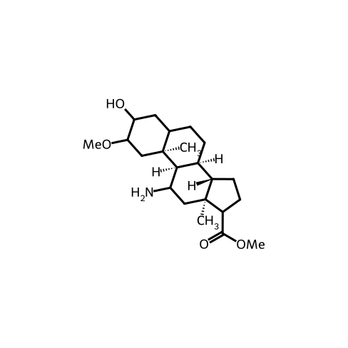 COC(=O)C1CC[C@H]2[C@@H]3CCC4CC(O)C(OC)C[C@]4(C)[C@@H]3C(N)C[C@]12C